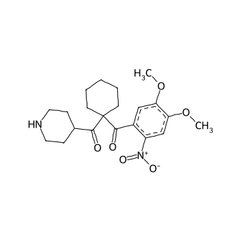 COc1cc(C(=O)C2(C(=O)C3CCNCC3)CCCCC2)c([N+](=O)[O-])cc1OC